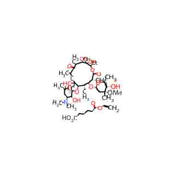 C=COC(=O)CCCCC(=O)O.CC[C@H]1OC(=O)[C@H](C)[C@@H](O[C@H]2C[C@@](C)(OC)[C@@H](O)[C@H](C)O2)[C@H](C)[C@@H](O[C@@H]2O[C@H](C)C[C@H](N(C)C)[C@H]2O)[C@](C)(O)C[C@@H](C)C(=O)[C@H](C)[C@@H](O)[C@]1(C)O